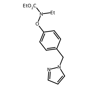 CCOC(=O)N(CC)Oc1ccc(Cn2cccn2)cc1